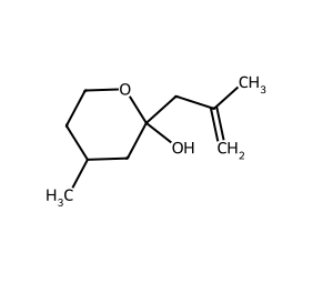 C=C(C)CC1(O)CC(C)CCO1